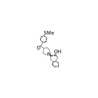 CSc1ccc(C(=O)C2CCN([C@@H]3Cc4ccccc4C[C@H]3O)CC2)cc1